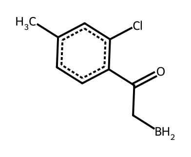 BCC(=O)c1ccc(C)cc1Cl